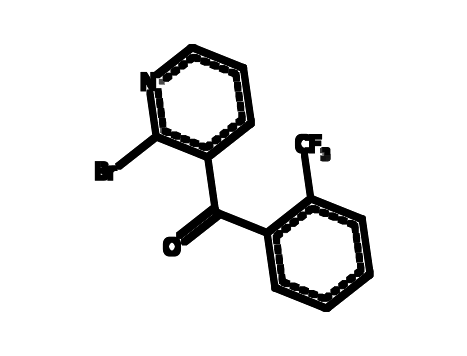 O=C(c1ccccc1C(F)(F)F)c1cccnc1Br